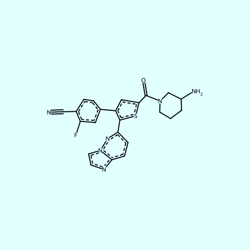 N#Cc1ccc(-c2cc(C(=O)N3CCCC(N)C3)sc2-c2ccc3nccn3n2)cc1F